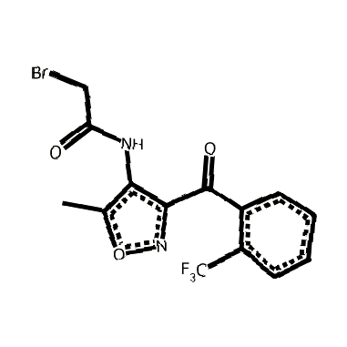 Cc1onc(C(=O)c2ccccc2C(F)(F)F)c1NC(=O)CBr